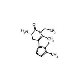 CC1=C(c2cccc(C)c2F)C[C@H](N)C(=O)N1CC(F)(F)F